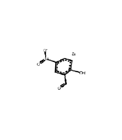 O=Cc1cc([N+](=O)[O-])ccc1O.[Zn]